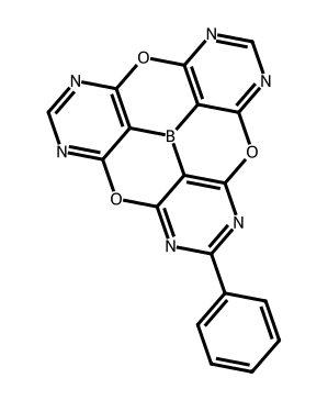 c1ccc(-c2nc3c4c(n2)Oc2ncnc5c2B4c2c(ncnc2O3)O5)cc1